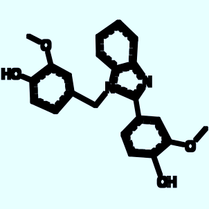 COc1cc(Cn2c(-c3ccc(O)c(OC)c3)nc3ccccc32)ccc1O